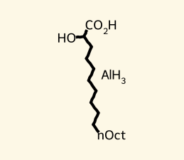 CCCCCCCCCCCCCCCCC(O)C(=O)O.[AlH3]